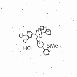 CSc1ccccc1C1CCN(CCC(CN(C)C(=O)c2ccccc2)c2ccc(Cl)c(Cl)c2)CC1.Cl